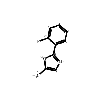 [CH2]c1cnc(-c2ccccc2F)o1